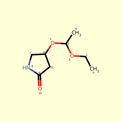 CCOC(C)OC1CNC(=O)C1